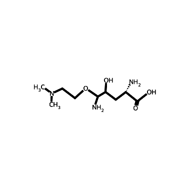 CN(C)CCOC(N)C(O)C[C@H](N)C(=O)O